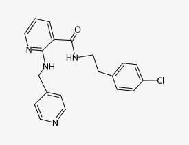 O=C(NCCc1ccc(Cl)cc1)c1cccnc1NCc1ccncc1